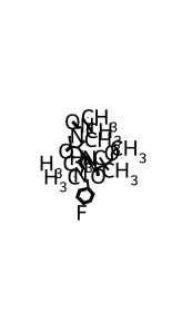 COCC(C)(C)C(=O)n1nc(C2C(=O)CN(C(=O)N(C)C)C2C)c(C)c1N(C)Cc1ccc(F)cc1